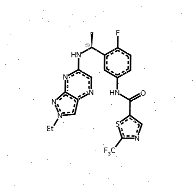 CCn1cc2ncc(N[C@@H](C)c3cc(NC(=O)c4cnc(C(F)(F)F)s4)ccc3F)nc2n1